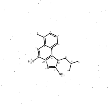 Cc1cccc2c1nc(N)c1nc(N)n(CC(C)C)c12